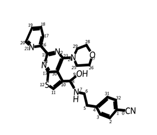 N#Cc1ccc(CCNC(O)c2csc3nc(-c4ccccn4)nc(N4CCOCC4)c23)cc1